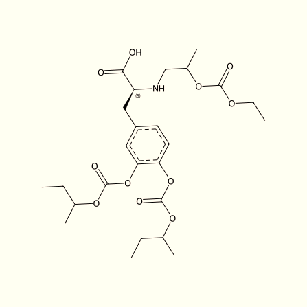 CCOC(=O)OC(C)CN[C@@H](Cc1ccc(OC(=O)OC(C)CC)c(OC(=O)OC(C)CC)c1)C(=O)O